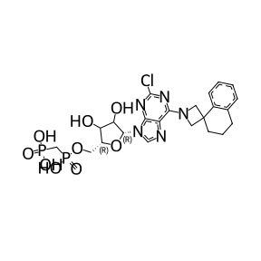 O=P(O)(O)CP(=O)(O)OC[C@H]1O[C@@H](n2cnc3c(N4CC5(CCCc6ccccc65)C4)nc(Cl)nc32)C(O)C1O